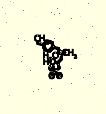 C=Cc1ccc(C[N+](C)(C)CC(O)CS(=O)(=O)[O-])cc1